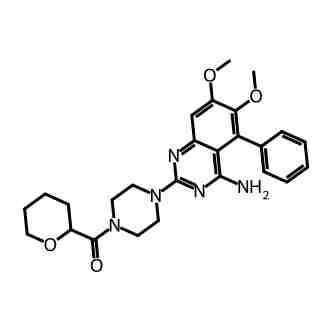 COc1cc2nc(N3CCN(C(=O)C4CCCCO4)CC3)nc(N)c2c(-c2ccccc2)c1OC